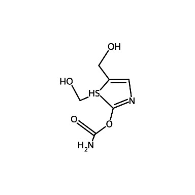 NC(=O)OC1=NC=C(CO)[SH]1CO